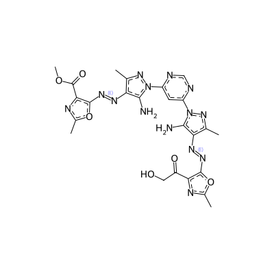 COC(=O)c1nc(C)oc1/N=N/c1c(C)nn(-c2cc(-n3nc(C)c(/N=N/c4oc(C)nc4C(=O)CO)c3N)ncn2)c1N